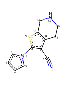 N#Cc1c(-n2cccc2)sc2c1CCNC2